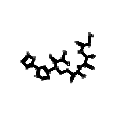 CC(C)C(NC(=O)C(NC(=O)OC(C)(C)C)C(C)C)C(=O)CCN(C(=O)C(Cl)Cl)c1ccnc(-c2ccno2)c1